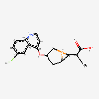 CC(C(=O)O)C1C2CC(Oc3ccnc4ccc(F)cc34)CP21